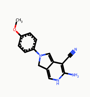 COc1ccc(N2C=C3C(=CNC(N)=C3C#N)C2)cc1